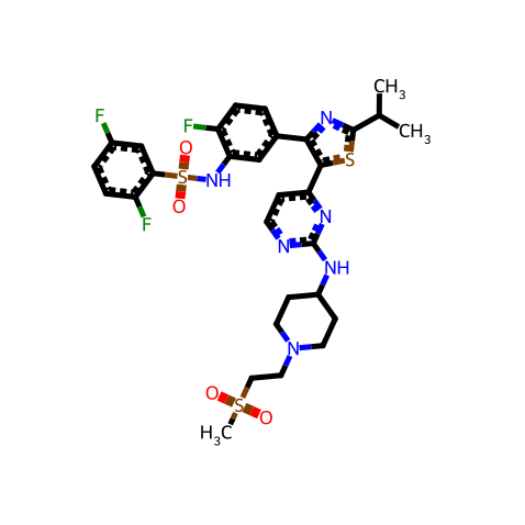 CC(C)c1nc(-c2ccc(F)c(NS(=O)(=O)c3cc(F)ccc3F)c2)c(-c2ccnc(NC3CCN(CCS(C)(=O)=O)CC3)n2)s1